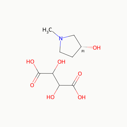 CN1CC[C@@H](O)C1.O=C(O)C(O)C(O)C(=O)O